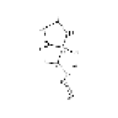 C=CCC(C)C1(CC)OCCO1